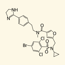 CN(CCc1ccc(C2=NCCN2)cc1)C(=O)c1coc(CN(C2CC2)S(=O)(=O)c2c(Cl)cc(Br)cc2Cl)c1